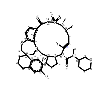 C[C@@H]1[C@@H](C)C/C=C(\F)[C@H](C(=O)N(C)C2CCCOC2)N2CCC[C@H]2CN2C[C@@]3(CCCc4cc(Cl)ccc43)COc3ccc(cc32)C(=O)NS1(=O)=O